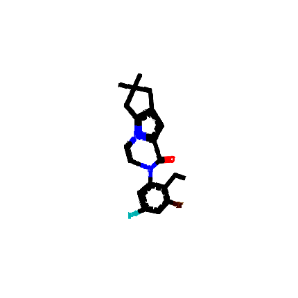 CCc1c(Br)cc(F)cc1N1CCn2c(cc3c2CC(C)(C)C3)C1=O